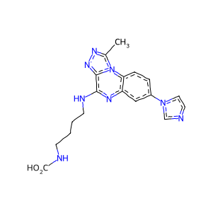 Cc1nnc2c(NCCCCNC(=O)O)nc3cc(-n4ccnc4)ccc3n12